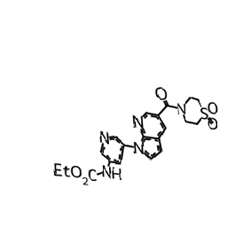 CCOC(=O)Nc1cncc(-n2ccc3cc(C(=O)N4CCS(=O)(=O)CC4)cnc32)c1